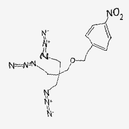 [N-]=[N+]=NCC(CN=[N+]=[N-])(CN=[N+]=[N-])COCc1ccc([N+](=O)[O-])cc1